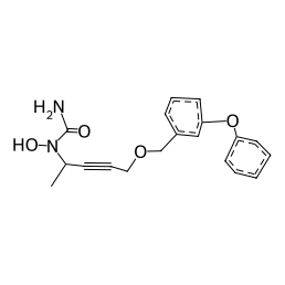 CC(C#CCOCc1cccc(Oc2ccccc2)c1)N(O)C(N)=O